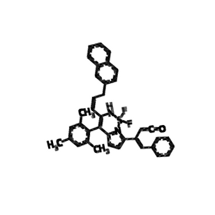 Cc1cc(C)c(C2=C(/C=C\Cc3ccc4ccccc4c3)NS(F)(F)n3c2ccc3/C(C=C=O)=C/c2ccccc2)c(C)c1